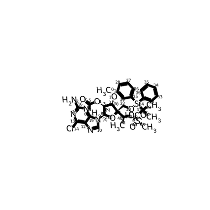 CO[C@H]1[C@@H](OC(C)=O)[C@H](n2cnc3c(Cl)nc(N)nc32)O[C@@]1(CO[Si](c1ccccc1)(c1ccccc1)C(C)(C)C)[C@H](C)OS(C)(=O)=O